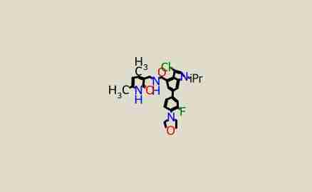 Cc1cc(C)c(CNC(=O)c2cc(-c3ccc(N4CCOCC4)c(F)c3)cc3c2c(Cl)cn3C(C)C)c(=O)[nH]1